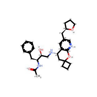 CC(=O)N[C@@H](Cc1ccccc1)[C@@H](O)CN[C@H]1CC2(CCC2)Oc2ncc(C[C@H]3CCCO3)cc21